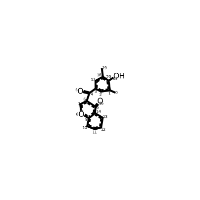 Cc1cc(C(=O)c2coc3ccccc3c2=O)cc(C)c1O